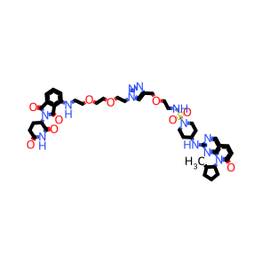 CC1CCCC1n1c(=O)ccc2cnc(NC3CCN(S(=O)(=O)NCCOCc4cn(CCOCCOCCNc5cccc6c5C(=O)N(C5CCC(=O)NC5=O)C6=O)nn4)CC3)nc21